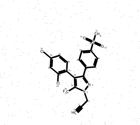 C#CCn1nc(-c2ccc(S(C)(=O)=O)cc2)c(-c2ccc(Cl)cc2Cl)c1C(F)(F)F